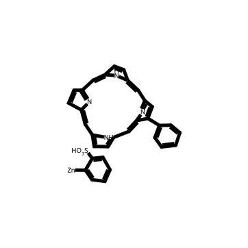 C1=Cc2cc3ccc(cc4nc(cc5ccc(cc1n2)[nH]5)C=C4c1ccccc1)[nH]3.O=S(=O)(O)c1cccc[c]1[Zn]